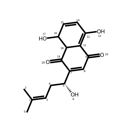 CC(C)=CC[C@@H](O)C1=CC(=O)C2=C(O)C=CC(O)C2C1=O